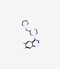 COc1cc2nncc(N3CCOC(CN4CCCC4)C3)c2cc1OC